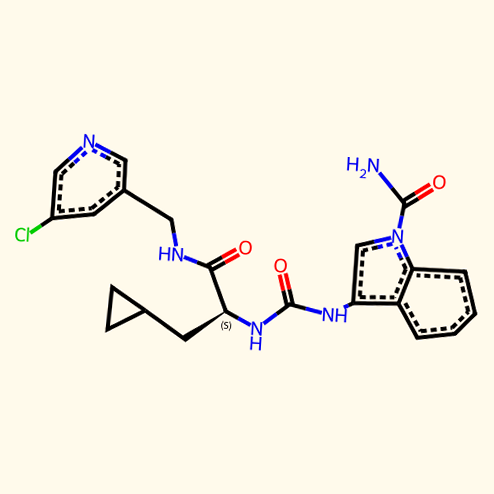 NC(=O)n1cc(NC(=O)N[C@@H](CC2CC2)C(=O)NCc2cncc(Cl)c2)c2ccccc21